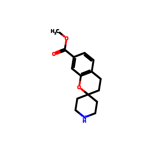 COC(=O)c1ccc2c(c1)OC1(CCNCC1)CC2